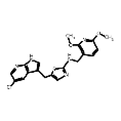 COc1ccc(CNc2ncc(Cc3c[nH]c4ncc(Cl)cc34)s2)c(OC)n1